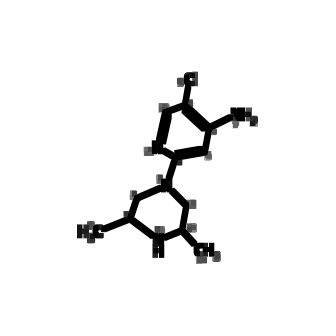 CC1CN(c2cc(N)c(Cl)cn2)CC(C)N1